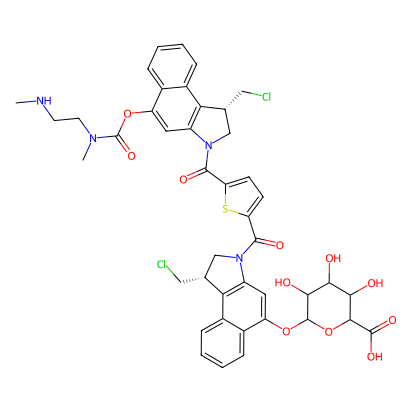 CNCCN(C)C(=O)Oc1cc2c(c3ccccc13)[C@H](CCl)CN2C(=O)c1ccc(C(=O)N2C[C@@H](CCl)c3c2cc(OC2OC(C(=O)O)C(O)C(O)C2O)c2ccccc32)s1